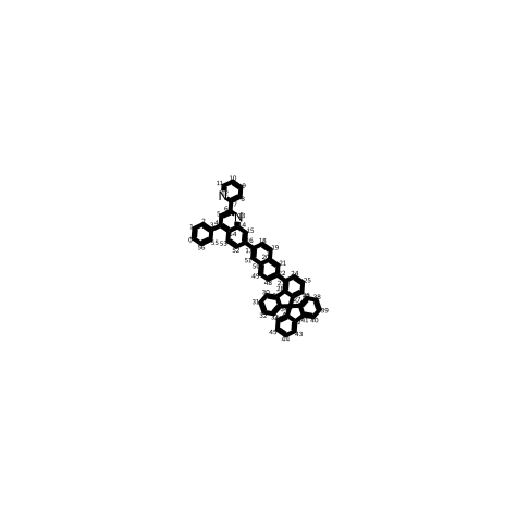 c1ccc(-c2cc(-c3ccccn3)nc3cc(-c4ccc5cc(-c6cccc7c6-c6ccccc6C76c7ccccc7-c7ccccc76)ccc5c4)ccc23)cc1